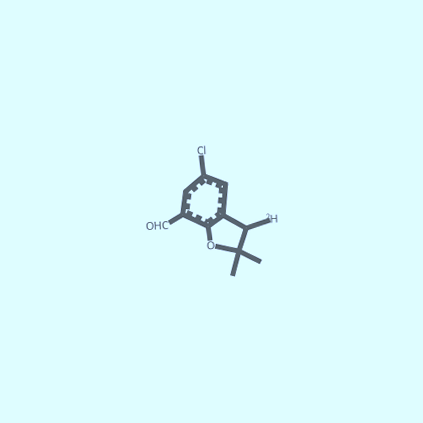 [2H]C1c2cc(Cl)cc(C=O)c2OC1(C)C